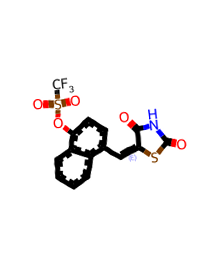 O=C1NC(=O)/C(=C\c2ccc(OS(=O)(=O)C(F)(F)F)c3ccccc23)S1